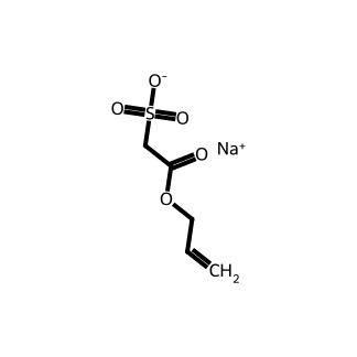 C=CCOC(=O)CS(=O)(=O)[O-].[Na+]